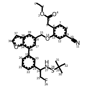 CCOC(=O)Cc1ccc(C#N)cc1OCc1cc(-c2cccc(C(CF)NSC(C)(C)C)c2)c2occc2c1